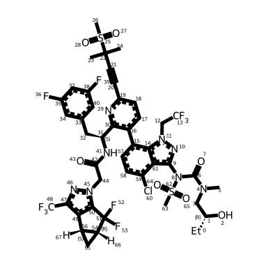 CC[C@@H](O)CN(C)C(=O)N(c1nn(CC(F)(F)F)c2c(-c3ccc(C#CC(C)(C)S(C)(=O)=O)nc3[C@H](Cc3cc(F)cc(F)c3)NC(=O)Cn3nc(C(F)(F)F)c4c3C(F)(F)[C@@H]3C[C@H]43)ccc(Cl)c12)S(C)(=O)=O